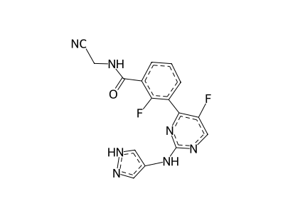 N#CCNC(=O)c1cccc(-c2nc(Nc3cn[nH]c3)ncc2F)c1F